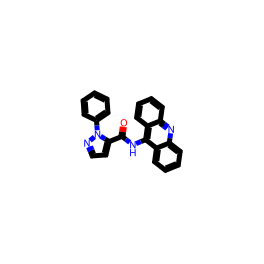 O=C(Nc1c2ccccc2nc2ccccc12)c1ccnn1-c1ccccc1